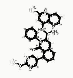 COc1ncc(-c2cccc3cc([C@H](C)Nc4cc(C)nc5cccnc45)n(-c4ccccc4)c(=O)c23)cn1